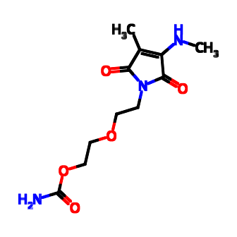 CNC1=C(C)C(=O)N(CCOCCOC(N)=O)C1=O